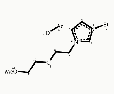 CC(=O)[O-].CCn1cc[n+](CCOCCOC)c1